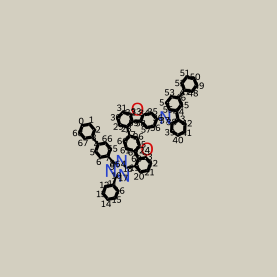 c1ccc(-c2ccc(-c3nc(-c4ccccc4)nc(-c4cccc5oc6cc(-c7cccc8oc9cc(-n%10c%11ccccc%11c%11cc(-c%12ccccc%12)ccc%11%10)ccc9c78)ccc6c45)n3)cc2)cc1